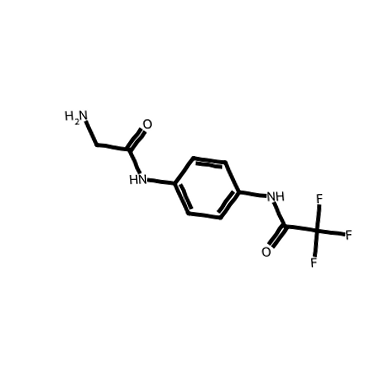 NCC(=O)Nc1ccc(NC(=O)C(F)(F)F)cc1